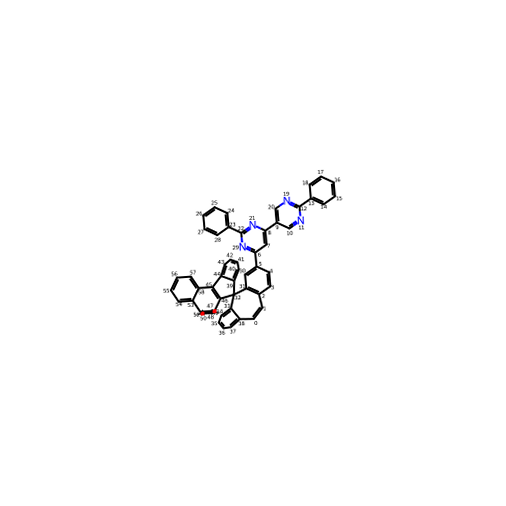 C1=Cc2ccc(-c3cc(-c4cnc(-c5ccccc5)nc4)nc(-c4ccccc4)n3)cc2C2(c3ccccc31)c1ccccc1-c1c2c2ccccc2c2ccccc12